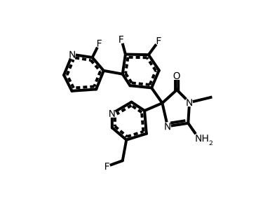 CN1C(=O)C(c2cncc(CF)c2)(c2cc(F)c(F)c(-c3cccnc3F)c2)N=C1N